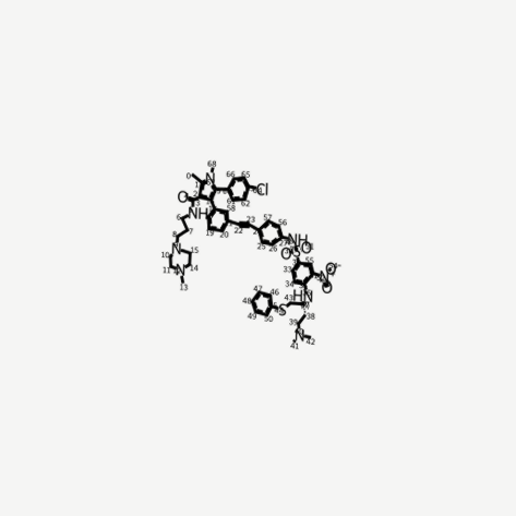 Cc1c(C(=O)NCCCN2CCN(C)CC2)c(-c2cccc(C#Cc3ccc(NS(=O)(=O)c4ccc(N[C@H](CCN(C)C)CSc5ccccc5)c([N+](=O)[O-])c4)cc3)c2)c(-c2ccc(Cl)cc2)n1C